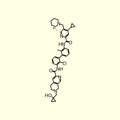 Cc1c(NC(=O)c2cc(C3CC3)c(CN3CCCC[C@H]3C)cn2)cccc1-c1cccc(NC(=O)c2cc3c(cn2)CN(CC2(O)CC2)CC3)c1Cl